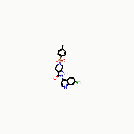 Cc1ccc(S(=O)(=O)N2CCc3c([nH]n(-c4ccnc5cc(Cl)ccc45)c3=O)C2)cc1